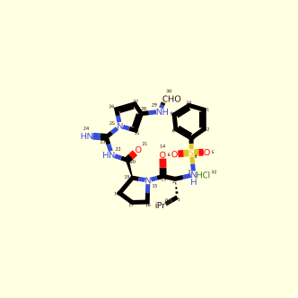 CC(C)C[C@@H](NS(=O)(=O)c1ccccc1)C(=O)N1CCC[C@H]1C(=O)NC(=N)n1ccc(NC=O)c1.Cl